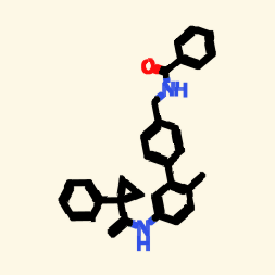 C=C(Nc1ccc(C)c(-c2ccc(CNC(=O)c3ccccc3)cc2)c1)C1(c2ccccc2)CC1